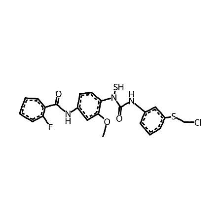 COc1cc(NC(=O)c2ccccc2F)ccc1N(S)C(=O)Nc1cccc(SCCl)c1